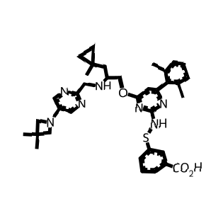 Cc1cccc(C)c1-c1cc(OCC(CC2(C)CC2)NCc2ncc(N3CC(C)(C)C3)cn2)nc(NSc2cccc(C(=O)O)c2)n1